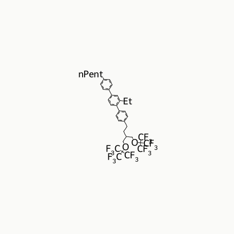 CCCCCc1ccc(-c2ccc(-c3ccc(CCC(COC(C(F)(F)F)(C(F)(F)F)C(F)(F)F)COC(C(F)(F)F)(C(F)(F)F)C(F)(F)F)cc3)c(CC)c2)cc1